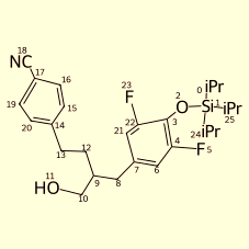 CC(C)[Si](Oc1c(F)cc(CC(CO)CCc2ccc(C#N)cc2)cc1F)(C(C)C)C(C)C